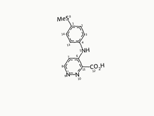 CSc1ccc(Nc2ccnnc2C(=O)O)cc1